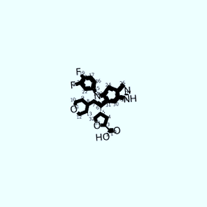 O=C(O)[C@@H]1C[C@@H](c2c(C3CCOCC3)n(-c3ccc(F)c(F)c3)c3cc4cn[nH]c4cc23)CO1